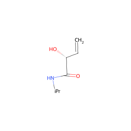 C=C[C@@H](O)C(=O)NC(C)C